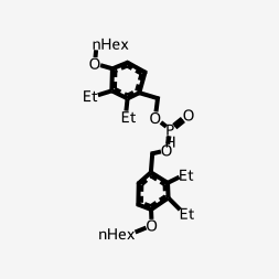 CCCCCCOc1ccc(CO[PH](=O)OCc2ccc(OCCCCCC)c(CC)c2CC)c(CC)c1CC